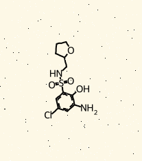 Nc1cc(Cl)cc(S(=O)(=O)NCC2CCCO2)c1O